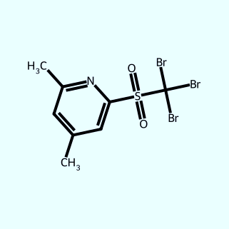 Cc1cc(C)nc(S(=O)(=O)C(Br)(Br)Br)c1